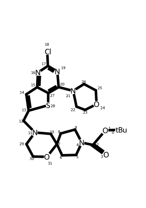 CC(C)(C)OC(=O)N1CCC2(CC1)CN(Cc1cc3nc(Cl)nc(N4CCOCC4)c3s1)CCO2